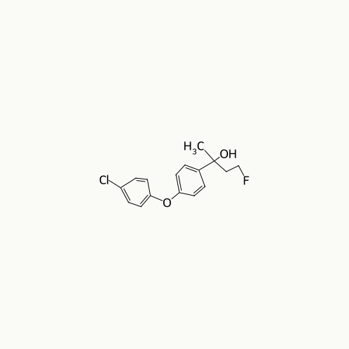 CC(O)(CCF)c1ccc(Oc2ccc(Cl)cc2)cc1